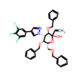 C=C[C@]1(O)O[C@H](COCc2ccccc2)[C@H](OCc2ccccc2)[C@H](n2cc(-c3cc(F)c(F)c(F)c3)cn2)[C@H]1OCc1ccccc1